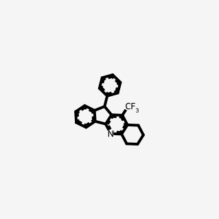 FC(F)(F)c1c2c(nc3c1C(c1ccccc1)c1ccccc1-3)CCCC2